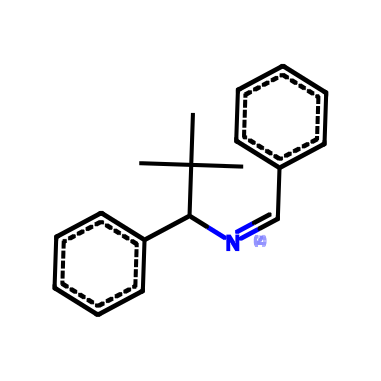 CC(C)(C)C(/N=C\c1ccccc1)c1ccccc1